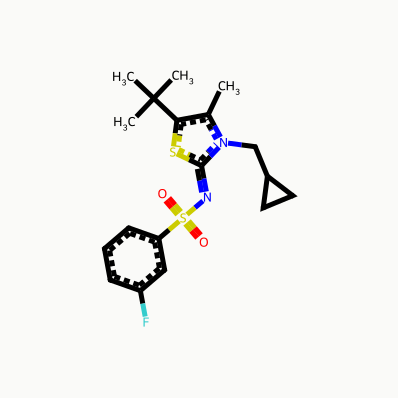 Cc1c(C(C)(C)C)s/c(=N\S(=O)(=O)c2cccc(F)c2)n1CC1CC1